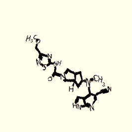 COCc1nsc(NC(=O)N2CC3C[C@@H](N(C)c4c(C#N)cnc5[nH]ccc45)C[C@@H]3C2)n1